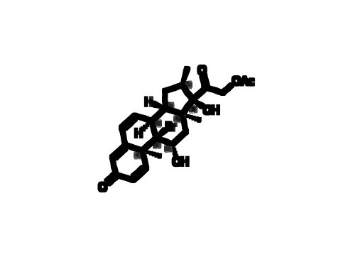 CC(=O)OCC(=O)[C@@]1(O)[C@H](C)C[C@H]2[C@@H]3C=CC4=CC(=O)C=C[C@]4(C)[C@@]3(Br)[C@@H](O)C[C@@]21C